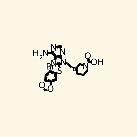 Nc1ncnc2c1nc(Sc1cc3c(cc1Br)OCO3)n2CC[C@@H]1CCCN(C(=O)O)C1